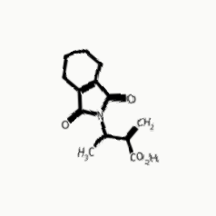 C=C(C(=O)O)C(C)N1C(=O)C2=C(CCCC2)C1=O